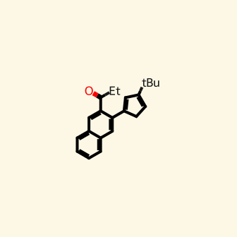 CCC(=O)c1cc2ccccc2cc1C1=CC(C(C)(C)C)=CC1